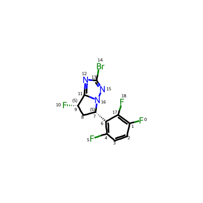 Fc1ccc(F)c([C@@H]2C[C@H](F)c3nc(Br)nn32)c1F